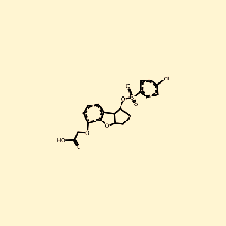 O=C(O)COc1cccc2c1OC1CCC(OS(=O)(=O)c3ccc(Cl)cc3)C21